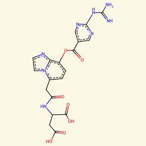 N=C(N)Nc1ncc(C(=O)Oc2ccc(CC(=O)NC(CC(=O)O)C(=O)O)n3ccnc23)cn1